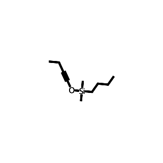 CCC#CO[Si](C)(C)CCCC